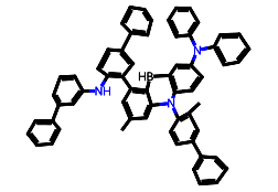 Cc1cc(-c2cc(-c3ccccc3)ccc2Nc2cccc(-c3ccccc3)c2)c2c(c1)N(c1ccc(-c3ccccc3)cc1C)c1ccc(N(c3ccccc3)c3ccccc3)cc1B2